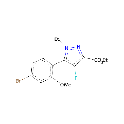 CCOC(=O)c1nn(CC)c(-c2ccc(Br)cc2OC)c1F